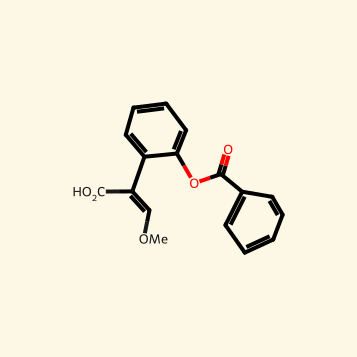 COC=C(C(=O)O)c1ccccc1OC(=O)c1ccccc1